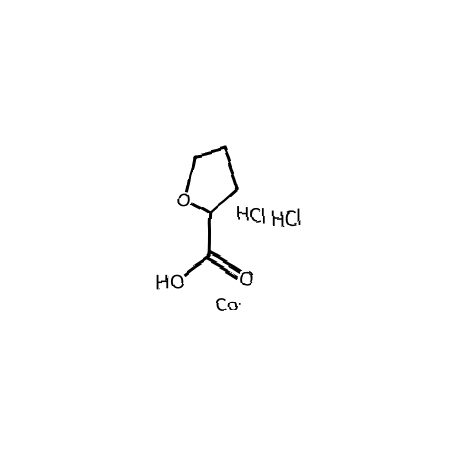 Cl.Cl.O=C(O)C1CCCO1.[Co]